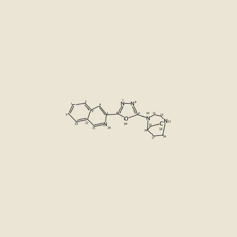 c1ccc2cc(-c3nnc(N4CCN5CCC4CC5)o3)ncc2c1